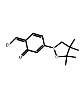 CC/C=C1/C=CC(P2CC(C)(C)C(C)(C)O2)=CC1=O